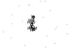 O=C(NCc1cccnc1)Nc1ccc(S(=O)(=O)N[C@H]2C[C@@H]3CC[C@H]2C3)cc1